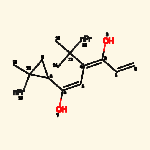 C=C/C(O)=C(\C=C(\O)C1CC1(C)CCC)C(C)(C)CCC